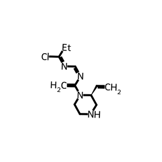 C=C[C@H]1CNCCN1C(=C)/N=C\N=C(\Cl)CC